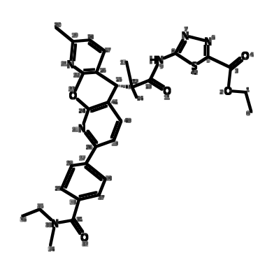 CCOC(=O)c1nnc(NC(=O)C(C)(C)[C@H]2c3ccc(C)nc3Oc3nc(-c4ccc(C(=O)N(C)CC)cc4)ccc32)s1